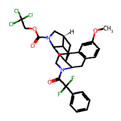 COc1ccc2c(c1)C13CCN(C(=O)C(F)(F)c4ccccc4)C(C2)C12CCC1C3[C@@H](CN1C(=O)OCC(Cl)(Cl)Cl)C2